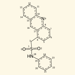 O=S(=O)(Cc1cccc2nc3ccccc3cc12)Nc1ccccc1